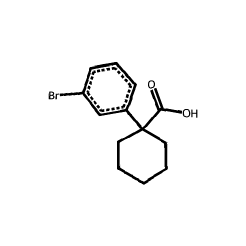 O=C(O)C1(c2cccc(Br)c2)CCCCC1